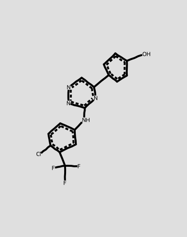 Oc1ccc(-c2cnnc(Nc3ccc(Cl)c(C(F)(F)F)c3)n2)cc1